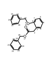 O=C(Cc1ccccc1OCc1ccccc1)OCc1ccccc1